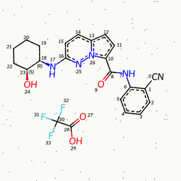 N#Cc1ccccc1NC(=O)c1ccc2ccc(N[C@@H]3CCCC[C@@H]3O)nn12.O=C(O)C(F)(F)F